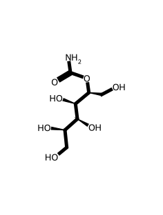 NC(=O)O[C@@H](CO)[C@H](O)[C@@H](O)[C@H](O)CO